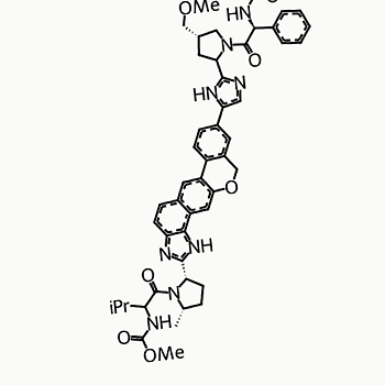 COC[C@H]1CC(c2ncc(-c3ccc4c(c3)COc3cc5c(ccc6nc([C@@H]7CC[C@H](C)N7C(=O)C(NC(=O)OC)C(C)C)[nH]c65)cc3-4)[nH]2)N(C(=O)[C@@H](NC(=O)OC)c2ccccc2)C1